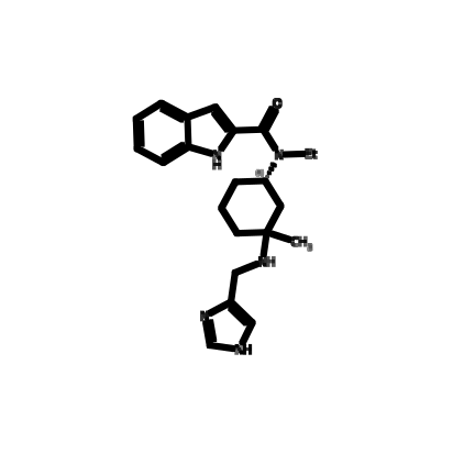 CCN(C(=O)c1cc2ccccc2[nH]1)[C@H]1CCCC(C)(NCc2c[nH]cn2)C1